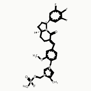 COc1cc(C=C2CC[C@H]3CC[C@@H](c4cc(F)c(F)c(F)c4)N3C2=O)ccc1-n1cc(C)[n+](COP(=O)([O-])O)c1